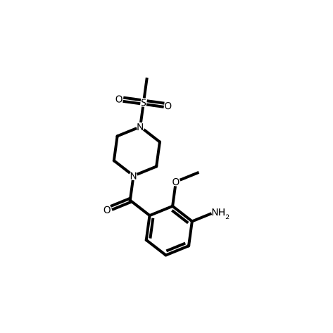 COc1c(N)cccc1C(=O)N1CCN(S(C)(=O)=O)CC1